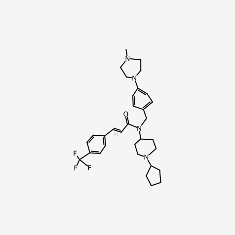 CN1CCN(c2ccc(CN(C(=O)/C=C/c3ccc(C(F)(F)F)cc3)C3CCN(C4CCCC4)CC3)cc2)CC1